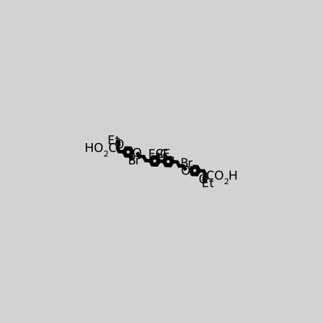 CCOC(Cc1ccc(OCCCc2ccc(-c3ccc(CCCOc4ccc(CC(OCC)C(=O)O)cc4Br)cc3C(F)(F)F)c(C(F)(F)F)c2)c(Br)c1)C(=O)O